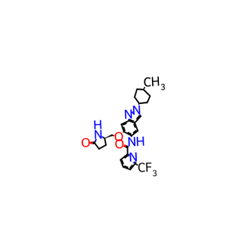 C[C@H]1CC[C@H](n2cc3cc(NC(=O)c4cccc(C(F)(F)F)n4)c(OC[C@H]4CCC(=O)N4)cc3n2)CC1